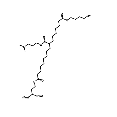 CCCCCC(CCCCC)CCOC(=O)CCCCCCCCC(CCCCCCC(=O)OCCCCC(C)C)C(=O)OCCCN(C)C